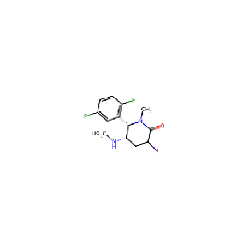 CN1C(=O)C(I)C[C@H](NC(=O)O)[C@@H]1c1cc(F)ccc1F